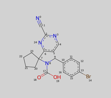 N#Cc1nccc(C2(N(Cc3ccc(Br)cc3)C(=O)O)CCCC2)n1